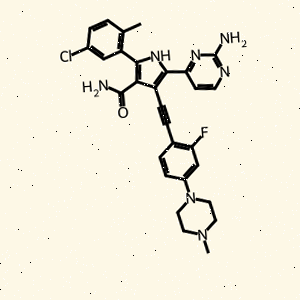 Cc1ccc(Cl)cc1-c1[nH]c(-c2ccnc(N)n2)c(C#Cc2ccc(N3CCN(C)CC3)cc2F)c1C(N)=O